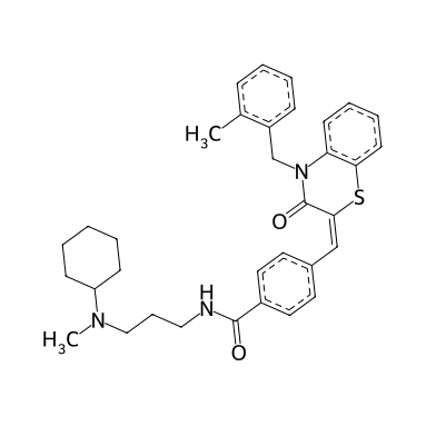 Cc1ccccc1CN1C(=O)/C(=C\c2ccc(C(=O)NCCCN(C)C3CCCCC3)cc2)Sc2ccccc21